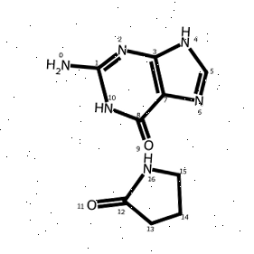 Nc1nc2[nH]cnc2c(=O)[nH]1.O=C1CCCN1